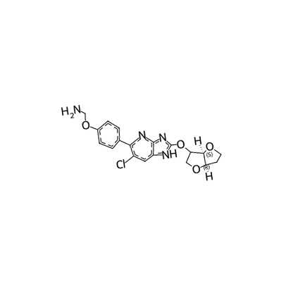 NCOc1ccc(-c2nc3nc(OC4CO[C@@H]5CCO[C@H]45)[nH]c3cc2Cl)cc1